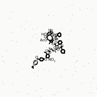 CC(=O)O[C@H]1C(=O)[C@@]2(C)[C@H]([C@H](OC(=O)c3ccccc3)[C@]3(O)C[C@H](OC(=O)[C@H](OC(=O)N(C)CCN(C)C(=O)OC(C)c4ccc([N+](=O)[O-])c(Oc5ccc(C(=O)N6CCN(C7CC7)CC6)cc5)c4)[C@@H](NC(=O)c4ccccc4)c4ccccc4)C(C)=C1C3(C)C)[C@]1(OC(C)=O)CO[C@@H]1C[C@@H]2O